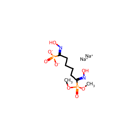 COP(=O)(OC)C(CCCCC(=NO)P(=O)([O-])[O-])=NO.[Na+].[Na+]